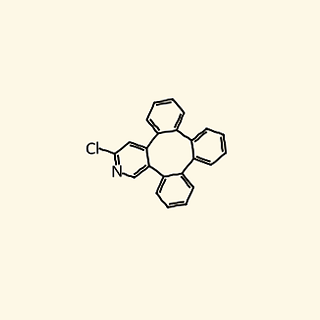 Clc1cc2c(cn1)-c1ccccc1-c1ccccc1-c1ccccc1-2